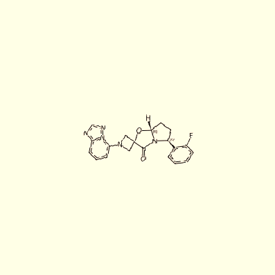 O=C1N2[C@@H](CC[C@H]2c2ccccc2F)OC12CN(c1cccc3ncnn13)C2